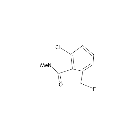 CNC(=O)c1c(Cl)cccc1CF